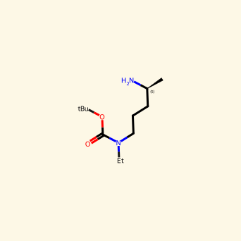 CCN(CCC[C@H](C)N)C(=O)OC(C)(C)C